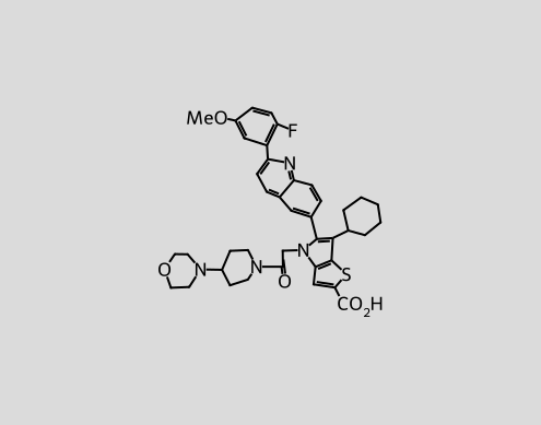 COc1ccc(F)c(-c2ccc3cc(-c4c(C5CCCCC5)c5sc(C(=O)O)cc5n4CC(=O)N4CCC(N5CCOCC5)CC4)ccc3n2)c1